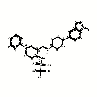 Cn1ncc2cc(C3CCC(OC[C@@H]4CN(c5ccccn5)CC[C@@H]4NS(=O)(=O)C(F)(F)F)CC3)ccc21